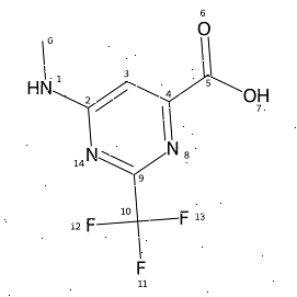 CNc1cc(C(=O)O)nc(C(F)(F)F)n1